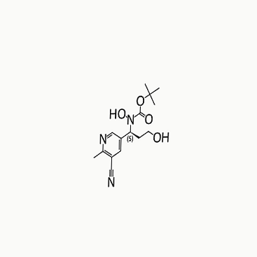 Cc1ncc([C@H](CCO)N(O)C(=O)OC(C)(C)C)cc1C#N